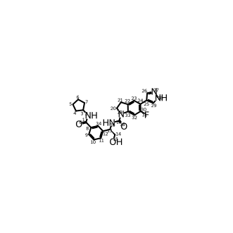 O=C(NC1CCCC1)c1cccc([C@H](CO)NC(=O)N2CCc3cc(-c4cn[nH]c4)c(F)cc32)c1